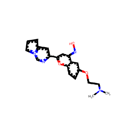 CN(C)CCOc1ccc2oc(-c3cc4cccn4cn3)cc(=NO)c2c1